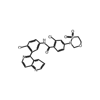 O=C(Nc1ccc(Cl)c(-c2nccc3ncccc23)c1)c1ccc(N2COCCS2(=O)=O)cc1Cl